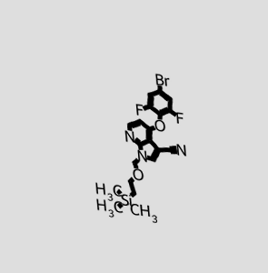 C[Si](C)(C)CCOCn1cc(C#N)c2c(Oc3c(F)cc(Br)cc3F)ccnc21